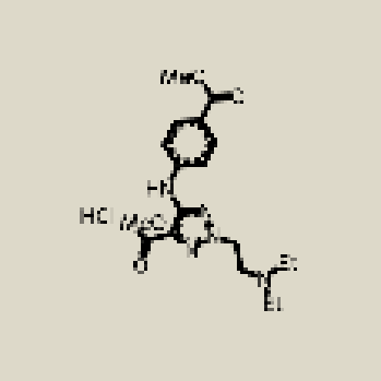 CCN(CC)CCn1nc(Nc2ccc(C(=O)OC)cc2)c(C(=O)OC)n1.Cl